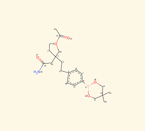 CCC(CCc1ccc(B2OCC(C)(C)CO2)cc1)(COC(C)=O)CC(N)=O